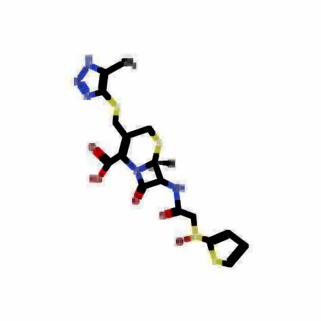 Cc1[nH]nnc1SCC1=C(C(=O)O)N2C(=O)C(NC(=O)C[S+]([O-])c3cccs3)[C@@H]2SC1